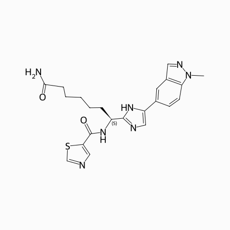 Cn1ncc2cc(-c3cnc([C@H](CCCCCC(N)=O)NC(=O)c4cncs4)[nH]3)ccc21